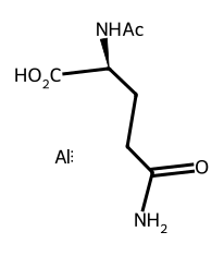 CC(=O)N[C@@H](CCC(N)=O)C(=O)O.[Al]